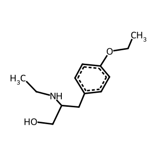 CCNC(CO)Cc1ccc(OCC)cc1